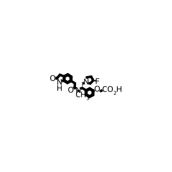 CN(C(=O)Cc1ccc2c(c1)NC(=O)C2)[C@H](CN1CC[C@@H](F)C1)c1cccc(OCC(=O)O)c1